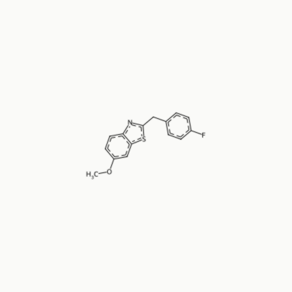 COc1ccc2nc(Cc3ccc(F)cc3)sc2c1